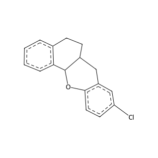 Clc1ccc2c(c1)CC1CCc3ccccc3C1O2